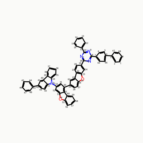 c1ccc(-c2ccc(-c3nc(-c4ccccc4)nc(-c4ccc5c(c4)oc4ccc(-c6cc(-n7c8ccccc8c8cc(-c9ccccc9)ccc87)cc7oc8ccccc8c67)cc45)n3)cc2)cc1